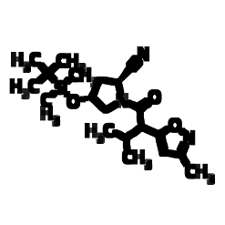 Cc1cc(C(C(=O)N2C[C@H](O[Si](C)(C)C(C)(C)C)C[C@H]2C#N)C(C)C)on1